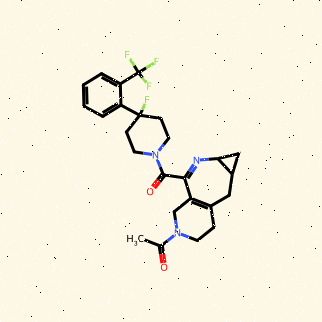 CC(=O)N1CCC2=C(C1)C(C(=O)N1CCC(F)(c3ccccc3C(F)(F)F)CC1)=NC1CC1C2